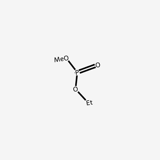 CCO[P](=O)OC